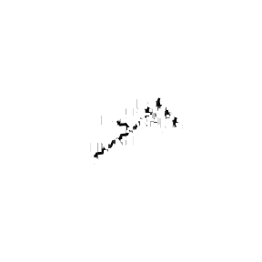 CC(=O)O.CC(=O)O.CC(=O)O.CC(=O)O.NCCN(CCO)CCNCCNCCO